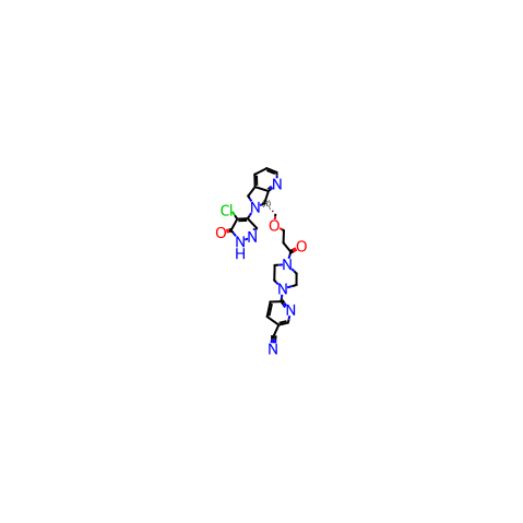 N#Cc1ccc(N2CCN(C(=O)CCOC[C@H]3c4ncccc4CN3c3cn[nH]c(=O)c3Cl)CC2)nc1